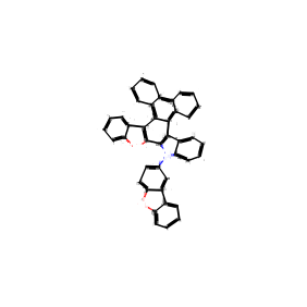 c1ccc2c(c1)oc1ccc(-n3c4ccccc4c4c5c6ccccc6c6ccccc6c5c5c6ccccc6oc5c43)cc12